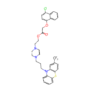 O=C(COc1ccc(Cl)c2ccccc12)OCCN1CCN(CCCN2c3ccccc3Sc3ccc(C(F)(F)F)cc32)CC1